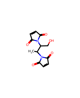 CC(C(CO)N1C(=O)C=CC1=O)N1C(=O)C=CC1=O